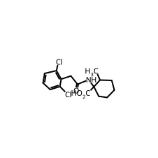 CC1CCCCC1(NC(=O)Cc1c(Cl)cccc1Cl)C(=O)O